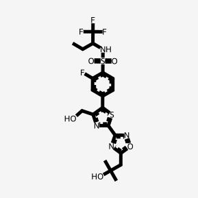 CCC(NS(=O)(=O)c1ccc(-c2sc(-c3noc(CC(C)(C)O)n3)nc2CO)cc1F)C(F)(F)F